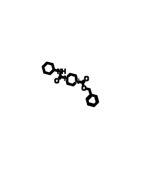 O=C(NC1CCCCC1)N1CCN(C(=O)OCc2ccccc2)CC1